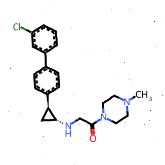 CN1CCN(C(=O)CN[C@@H]2C[C@H]2c2ccc(-c3cccc(Cl)c3)cc2)CC1